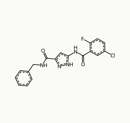 O=C(NCc1ccccc1)c1cc(NC(=O)c2cc(Cl)ccc2F)[nH]n1